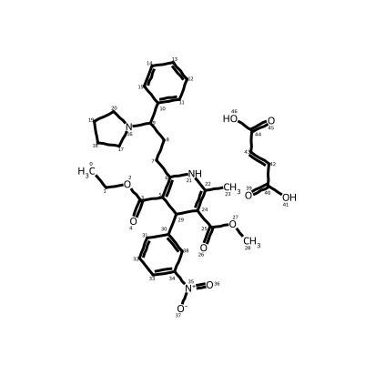 CCOC(=O)C1=C(CCC(c2ccccc2)N2CCCC2)NC(C)=C(C(=O)OC)C1c1cccc([N+](=O)[O-])c1.O=C(O)C=CC(=O)O